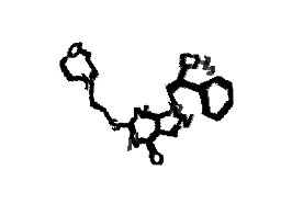 CC(CN1N=CC2C(=O)N=C(SCCN3CCOCC3)N=C21)c1ccccc1